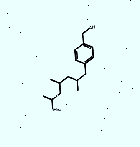 CCCCCCC(C)CC(C)CC(C)Cc1ccc(CS)cc1